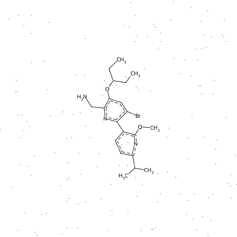 CCC(CC)Oc1cc(Br)c(-c2ccc(C(C)C)nc2OC)nc1CN